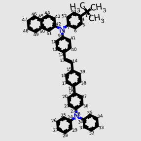 CC(C)(C)c1ccc(N(c2ccc(/C=C/c3ccc(-c4ccc(N(c5ccccc5)c5ccccc5)cc4)cc3)cc2)c2ccc3ccccc3c2)cc1